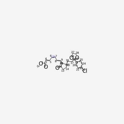 COC(=O)C=C/C=C\C=C[C@@H]1C(=O)CC[C@@H]1CCC1(c2ccc(Cl)cc2)OCCO1